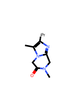 Cc1c(C(C)C)nc2n1CC(=O)N(C)C2